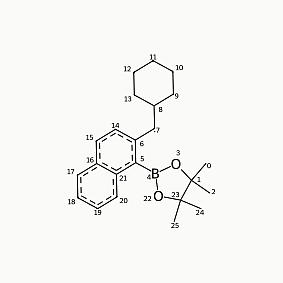 CC1(C)OB(c2c([CH]C3CCCCC3)ccc3ccccc23)OC1(C)C